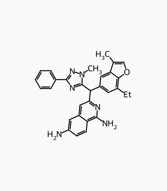 CCc1cc(C(c2cc3cc(N)ccc3c(N)n2)c2nc(-c3ccccc3)nn2C)cc2c(C)coc12